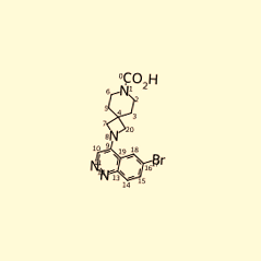 O=C(O)N1CCC2(CC1)CN(c1cnnc3ccc(Br)cc13)C2